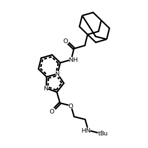 CC(C)(C)NCCOC(=O)c1cn2c(NC(=O)CC34CC5CC(CC(C5)C3)C4)cccc2n1